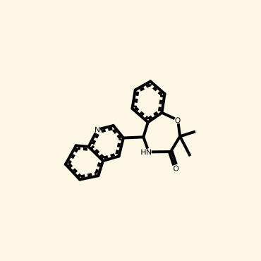 CC1(C)Oc2ccccc2C(c2cnc3ccccc3c2)NC1=O